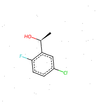 C[C@H](O)c1cc(Cl)ccc1F